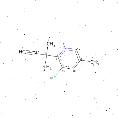 C#CC(C)(C)c1ncc(C)cc1F